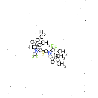 C=CC1=CC=C(C2(c3cc(C)ccc3C)c3ccccc3C3C=CC(N(c4ccc5c(c4)sc4cc(N(C6=CCC(F)C(F)=C6)C6=CC7C(CC6)c6ccccc6C7(C6=CCC(C=C)C=C6)C6=CC(C)CCC6C)ccc45)C4C=CC(F)=C(F)C4)=CC32)CC1